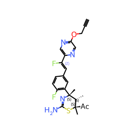 C#CCOc1cnc(/C(F)=C/c2ccc(F)c([C@@]3(C)N=C(N)S[C@](C)(C(C)=O)[C@H]3C)c2)cn1